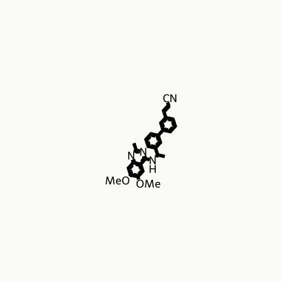 COc1cc2nc(C)nc(NC(C)c3cccc(-c4cccc(/C=C/C#N)c4)c3)c2cc1OC